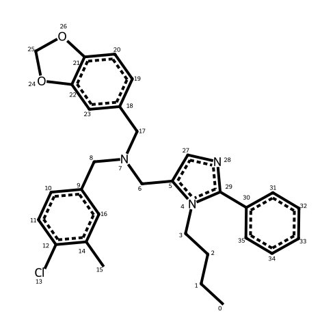 CCCCn1c(CN(Cc2ccc(Cl)c(C)c2)Cc2ccc3c(c2)OCO3)cnc1-c1ccccc1